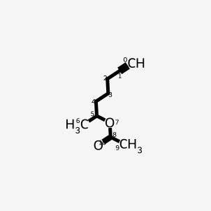 C#CCCCC(C)OC(C)=O